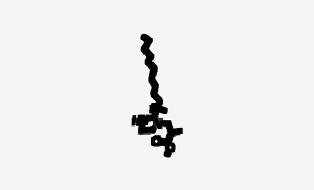 CCCCCCCCCC[Si](C)(C)C1NCCN1CC(C)C(=O)OC